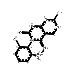 C/N=c1/c2cnc(Cl)nc2[nH]c(=O)n1-c1c(C)cccc1Cl